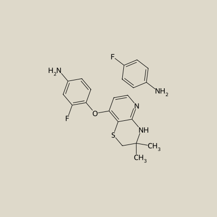 CC1(C)CSc2c(Oc3ccc(N)cc3F)ccnc2N1.Nc1ccc(F)cc1